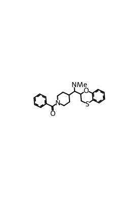 CNC(C1CCN(C(=O)c2ccccc2)CC1)C1CSc2ccccc2O1